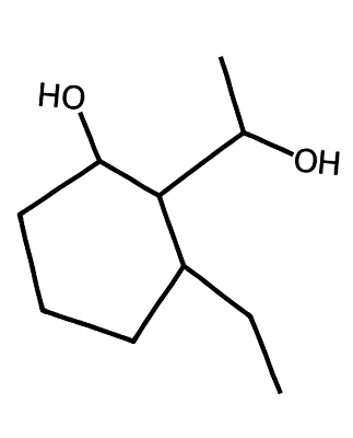 CCC1CCCC(O)C1C(C)O